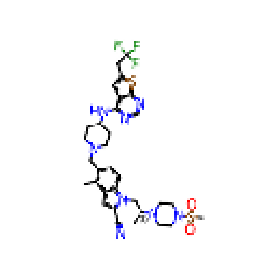 Cc1c(CN2CCC(Nc3ncnc4sc(CC(F)(F)F)cc34)CC2)ccc2c1cc(C#N)n2C[C@H](C)N1CCN(S(C)(=O)=O)CC1